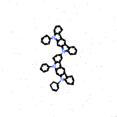 C1=CCCC(n2c3ccccc3c3cc4c5cc(-n6c7ccccc7c7cc8c9ccccc9n(-c9ccccc9)c8cc76)ccc5n(-c5ccccc5)c4cc32)=C1